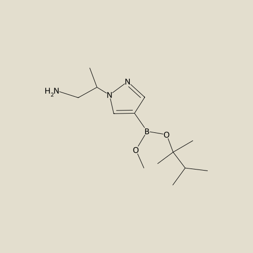 COB(OC(C)(C)C(C)C)c1cnn(C(C)CN)c1